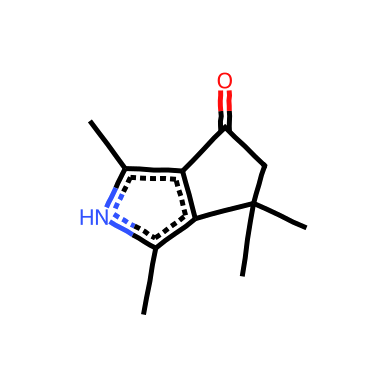 Cc1[nH]c(C)c2c1C(=O)CC2(C)C